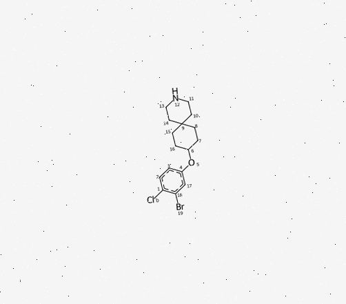 Clc1ccc(OC2CCC3(CCNCC3)CC2)cc1Br